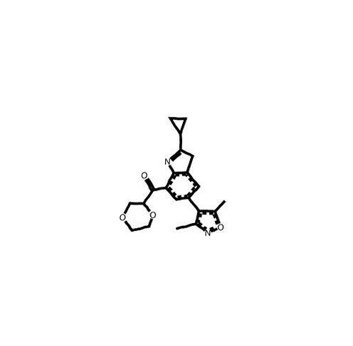 Cc1noc(C)c1-c1cc2c(c(C(=O)C3COCCO3)c1)N=C(C1CC1)C2